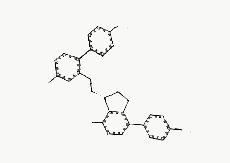 Cc1ccc(-c2ccc(O)cc2CC[C@H]2CCc3c(-c4ccc(C)cc4)ccc(O)c32)cc1